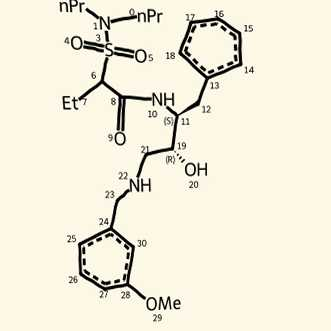 CCCN(CCC)S(=O)(=O)C(CC)C(=O)N[C@@H](Cc1ccccc1)[C@H](O)CNCc1cccc(OC)c1